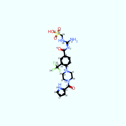 NC(=NC(=O)c1ccc(N2CCN(C(=O)c3ccc[nH]3)CC2)c(C(F)(F)F)c1)NCS(=O)(=O)O